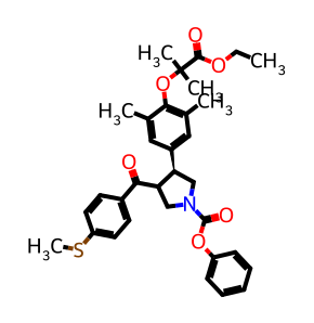 CCOC(=O)C(C)(C)Oc1c(C)cc([C@H]2CN(C(=O)Oc3ccccc3)CC2C(=O)c2ccc(SC)cc2)cc1C